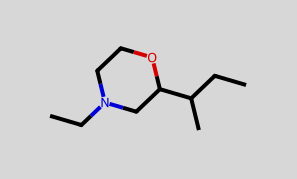 CCC(C)C1CN(CC)CCO1